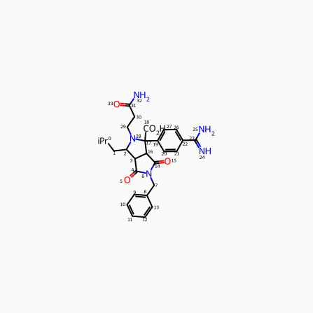 CC(C)CC1C2C(=O)N(Cc3ccccc3)C(=O)C2C(C(=O)O)(c2ccc(C(=N)N)cc2)N1CCC(N)=O